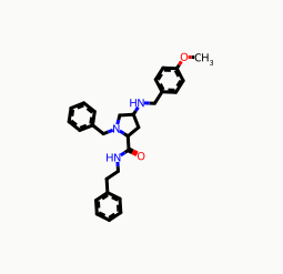 COc1ccc(CNC2CC(C(=O)NCCc3ccccc3)N(Cc3ccccc3)C2)cc1